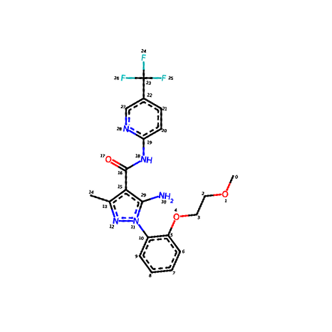 COCCOc1ccccc1-n1nc(C)c(C(=O)Nc2ccc(C(F)(F)F)cn2)c1N